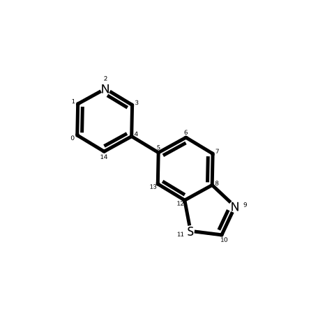 c1cncc(-c2ccc3ncsc3c2)c1